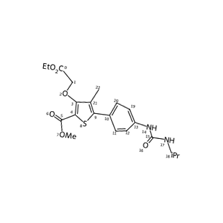 CCOC(=O)COc1c(C(=O)OC)sc(-c2ccc(NC(=O)NC(C)C)cc2)c1C